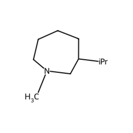 CC(C)C1CCCCN(C)C1